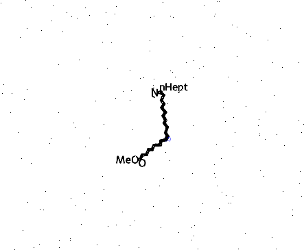 CCCCCCCC(CCCCCCCCCC/C=C\CCCCCCCC(=O)OC)N(C)C